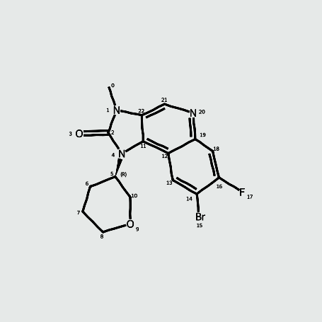 Cn1c(=O)n([C@@H]2CCCOC2)c2c3cc(Br)c(F)cc3ncc21